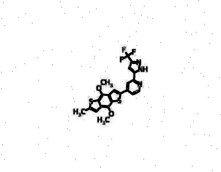 COc1c2cc(-c3ccnc(-c4cc(C(F)(F)F)n[nH]4)c3)sc2c(OC)c2cc(C)sc12